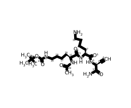 C#C[C@H](NC(=O)[C@H](CCCCN)NC(=O)[C@H](CCCCNC(=O)OC(C)(C)C)NC(C)=O)C(N)=O